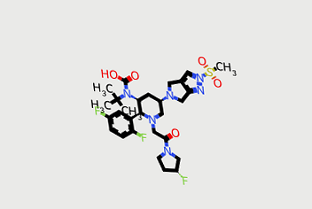 CC(C)(C)N(C(=O)O)[C@H]1C[C@@H](N2Cc3cn(S(C)(=O)=O)nc3C2)CN(CC(=O)N2CC[C@@H](F)C2)[C@H]1c1cc(F)ccc1F